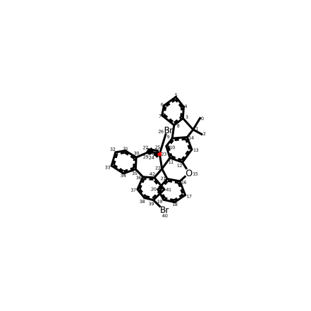 CC1(C)c2ccccc2-c2cc3c(cc21)Oc1ccccc1C31c2cc(Br)ccc2-c2ccccc2-c2ccc(Br)cc21